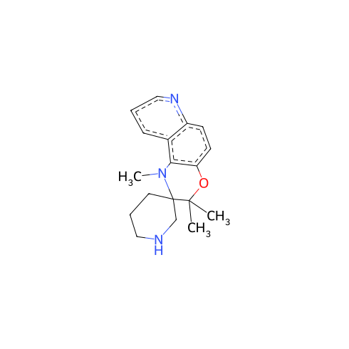 CN1c2c(ccc3ncccc23)OC(C)(C)C12CCCNC2